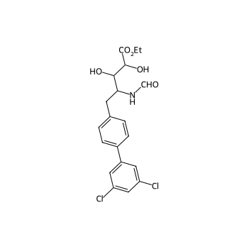 CCOC(=O)C(O)C(O)C(Cc1ccc(-c2cc(Cl)cc(Cl)c2)cc1)NC=O